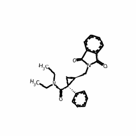 CCN(CC)C(=O)[C@@]1(c2ccccc2)C[C@H]1CN1C(=O)c2ccccc2C1=O